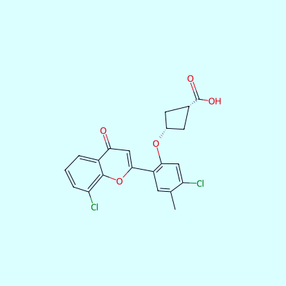 Cc1cc(-c2cc(=O)c3cccc(Cl)c3o2)c(O[C@H]2C[C@@H](C(=O)O)C2)cc1Cl